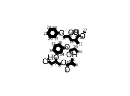 C=C(C)C(=O)OCC(O)CCl.C=C(CC(O)COc1ccccc1)C(=O)OC.[CH2]CC(O)Oc1ccccc1